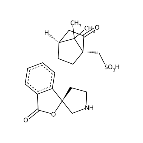 CC1(C)[C@H]2CC[C@]1(CS(=O)(=O)O)C(=O)C2.O=C1O[C@]2(CCNC2)c2ccccc21